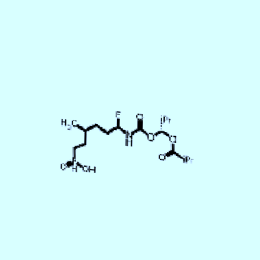 CC(CCC(F)NC(=O)O[C@@H](OC(=O)C(C)C)C(C)C)CC[PH](=O)O